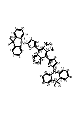 CC1(C)c2ccccc2N(c2ccc(-c3c4c(c(-c5ccc(N6c7ccccc7C(C)(C)c7ccccc76)s5)c5nsnc35)N=S=N4)s2)c2ccccc21